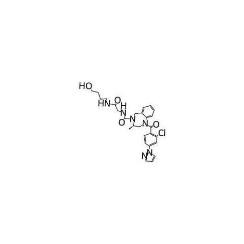 C[C@@H]1CN(C(=O)c2ccc(-n3cccn3)cc2Cl)c2ccccc2CN1C(=O)NCC(=O)NCCCCO